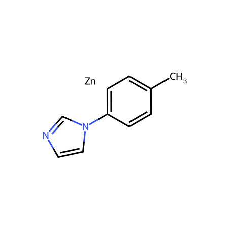 Cc1ccc(-n2ccnc2)cc1.[Zn]